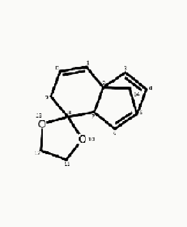 C1=CC23C=CC(=CC2C2(C1)OCCO2)C3